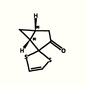 O=C1C[C@H]2C[C@H]2C12SC=CS2